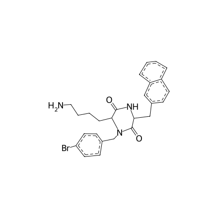 NCCCCC1C(=O)NC(Cc2ccc3ccccc3c2)C(=O)N1Cc1ccc(Br)cc1